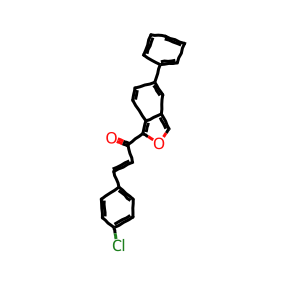 O=C(C=Cc1ccc(Cl)cc1)c1occ2cc(-c3ccccc3)ccc12